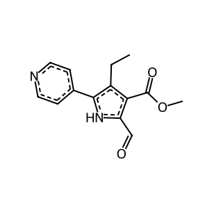 CCc1c(-c2ccncc2)[nH]c(C=O)c1C(=O)OC